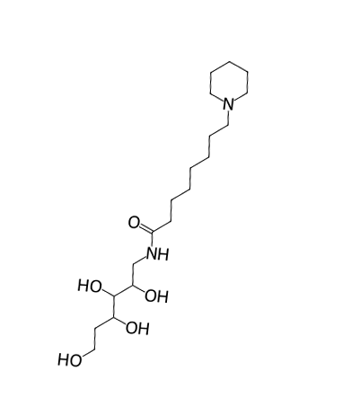 O=C(CCCCCCCN1CCCCC1)NCC(O)C(O)C(O)CCO